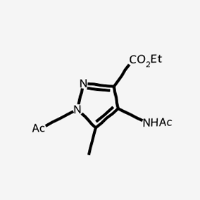 CCOC(=O)c1nn(C(C)=O)c(C)c1NC(C)=O